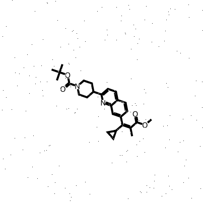 COC(=O)C(C)=C(c1ccc2ccc(C3CCN(C(=O)OC(C)(C)C)CC3)nc2c1)C1CC1